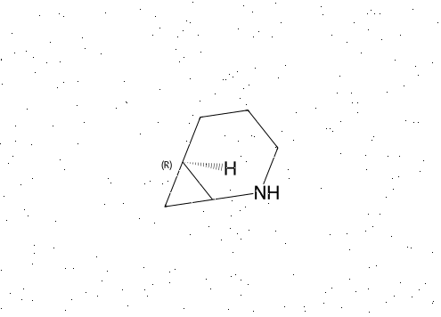 C1CNC2C[C@H]2C1